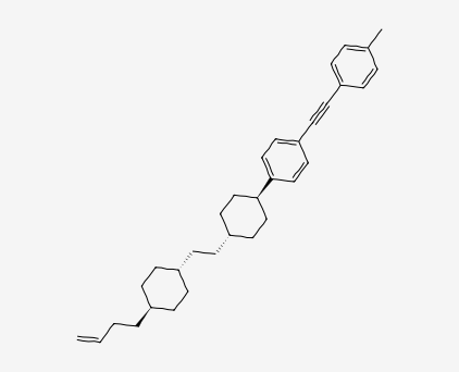 C=CCC[C@H]1CC[C@H](CC[C@H]2CC[C@H](c3ccc(C#Cc4ccc(C)cc4)cc3)CC2)CC1